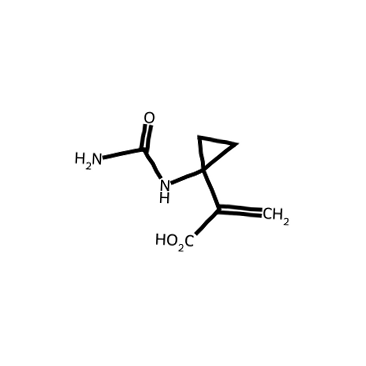 C=C(C(=O)O)C1(NC(N)=O)CC1